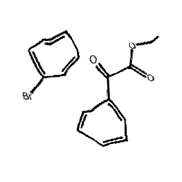 Brc1ccccc1.COC(=O)C(=O)c1ccccc1